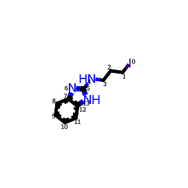 ICCCNc1nc2ccccc2[nH]1